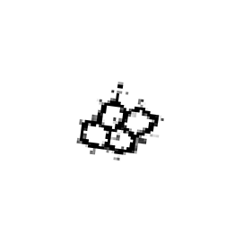 CCc1cc2cccc3ccc4c[c]cc1c4c32